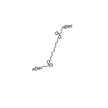 CCCCCCCCCCCCC(=O)OCCCCCCCCCCOC(=O)CCCCCCCCCCCC